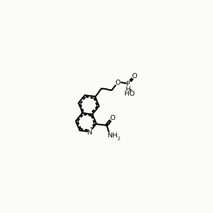 NC(=O)c1nccc2ccc(CCO[PH](=O)O)cc12